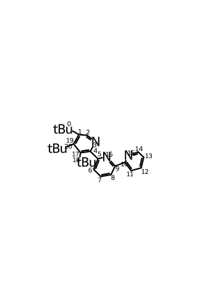 CC(C)(C)c1cnc(-c2cccc(-c3ccccn3)n2)c(C(C)(C)C)c1C(C)(C)C